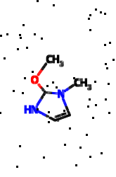 COC1N[C]=CN1C